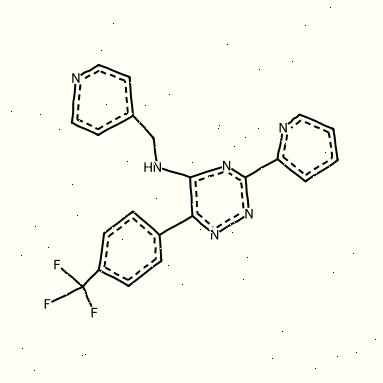 FC(F)(F)c1ccc(-c2nnc(-c3ccccn3)nc2NCc2ccncc2)cc1